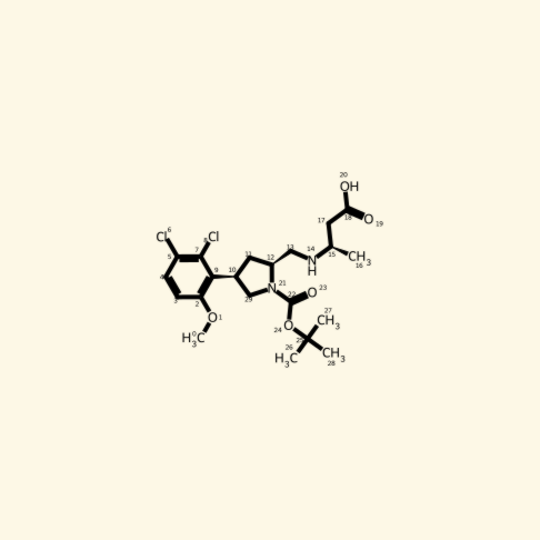 COc1ccc(Cl)c(Cl)c1[C@H]1C[C@@H](CN[C@H](C)CC(=O)O)N(C(=O)OC(C)(C)C)C1